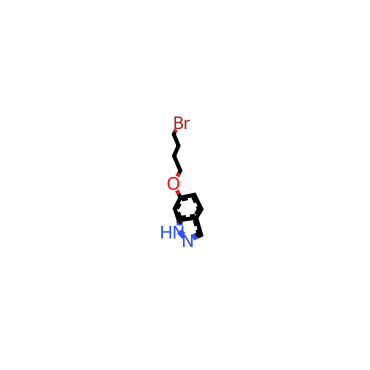 BrCCCCOc1ccc2cn[nH]c2c1